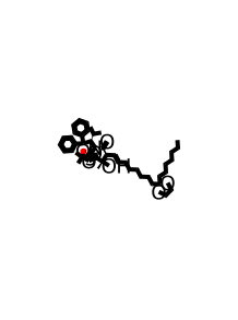 CCCCCCCC1(CCCCCC/C=C/[C@H](C(=O)N2C(=S)OC(c3ccccc3)(c3ccccc3)[C@@H]2C(C)C)[C@](C)(O)C(=O)OC(C)(C)C)OCCO1